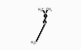 CCCCCCCCCCCCCCCCCC[n+]1ccc(/C=C/c2ccc(N(CCCC)CCCC)cc2)cc1